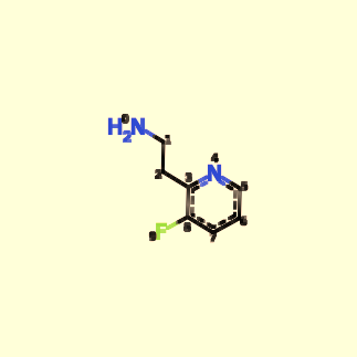 NCCc1ncccc1F